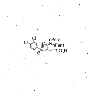 CCCCCN(CCCCC)C(=O)C(CCC(=O)O)CS(=O)(=O)c1ccc(Cl)c(Cl)c1